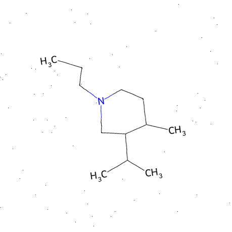 CCCN1CCC(C)C(C(C)C)C1